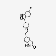 O=C1Cc2cc(CCN3CCC(c4onc5cc(F)ccc45)CC3)ccc2N1